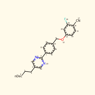 CCCCCCCCCCCCc1cnc(-c2ccc(COc3ccc(C#N)c(F)c3)cc2)nc1